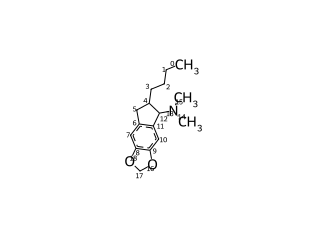 CCCCC1Cc2cc3c(cc2C1N(C)C)OCO3